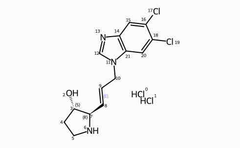 Cl.Cl.O[C@H]1CCN[C@@H]1/C=C/Cn1cnc2cc(Cl)c(Cl)cc21